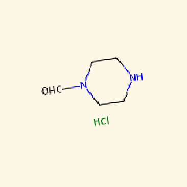 Cl.O=CN1CCNCC1